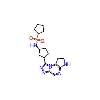 O=S(=O)(N[C@H]1CC[C@@H](c2nnc3cnc4c(n23)CCN4)C1)C1CCCC1